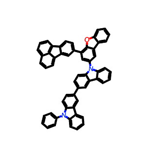 c1ccc(-n2c3ccccc3c3cc(-c4ccc5c(c4)c4ccccc4n5-c4cc(-c5ccc6c(c5)-c5cccc7cccc-6c57)c5oc6ccccc6c5c4)ccc32)cc1